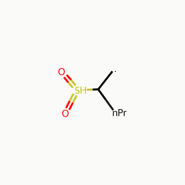 [CH2]C(CCC)[SH](=O)=O